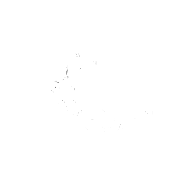 CC(C)(C)c1ccc(-n2c(C3CCCN3[C@@]3(C(=O)NC(=O)O)c4ccc(cc4)C3(C)CC(N)=O)ccc2C2CCCN2[C@@]2(C(=O)NC(=O)O)c3ccc(cc3)C2(C)CC(N)=O)cc1